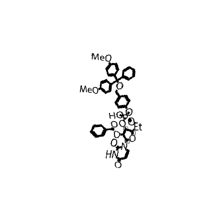 CC[C@H]1O[C@@H](n2ccc(=O)[nH]c2=O)C(OC(=O)c2ccccc2)[C@H]1OP(=O)(O)Oc1ccc(COC(c2ccccc2)(c2ccc(OC)cc2)c2ccc(OC)cc2)cc1